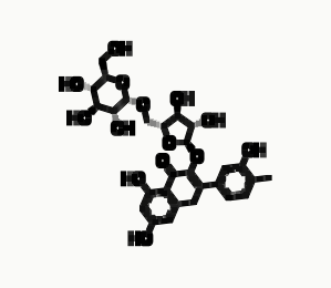 Cc1ccc(C2=C(O[C@H]3O[C@H](CO[C@H]4O[C@H](CO)[C@@H](O)[C@H](O)[C@H]4O)[C@@H](O)[C@@H]3O)C(=O)c3c(O)cc(O)cc3C2)cc1O